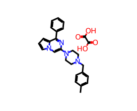 Cc1ccc(CN2CCN(c3cn4cccc4c(-c4ccccc4)n3)CC2)cc1.O=C(O)C(=O)O